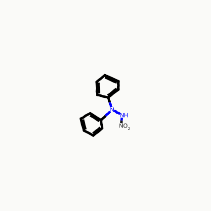 O=[N+]([O-])NN(c1ccccc1)c1ccccc1